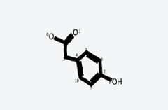 [O]C(=O)Cc1ccc(O)cc1